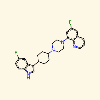 Fc1cc(N2CCN(C3CCC(c4c[nH]c5ccc(F)cc45)CC3)CC2)c2ncccc2c1